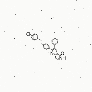 O=c1[nH]ccc2nc(-c3ccc(CCc4ccc(Cl)nc4)cc3)c(-c3ccccc3)cc12